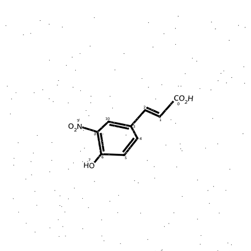 O=C(O)/C=C/c1ccc(O)c([N+](=O)[O-])c1